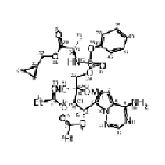 CCC(=O)O[C@@H](c1ccc2c(N)ncnn12)[C@H](OC(=O)CC)[C@@](C#N)(COP(=O)(N[C@@H](C)C(=O)OCC1CC1)Oc1ccccc1)OC